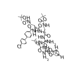 CC(C)C[C@H](NC(=O)[C@H](N)NC(=O)[C@H](CCNC(=O)OC(C)(C)C)NC(=O)[C@H](CCNC(=O)OC(C)(C)C)NC(=O)c1ccc(-c2ccc(Cl)cc2)cc1)C(=O)N[C@@H](N)B1OC2C[C@@H]3C[C@@H](C3(C)C)[C@]2(C)O1